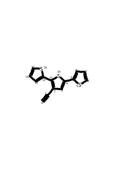 C#Cc1cc(-c2cccs2)sc1-c1cccs1